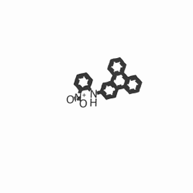 O=[N+]([O-])c1ccccc1Nc1ccc2c3ccccc3c3ccccc3c2c1